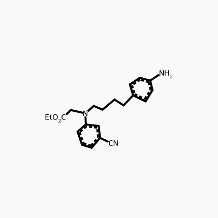 CCOC(=O)CN(CCCCc1ccc(N)cc1)c1cccc(C#N)c1